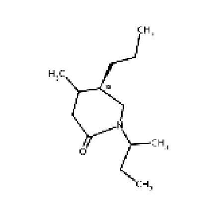 CCC[C@H]1CN(C(C)CC)C(=O)CC1C